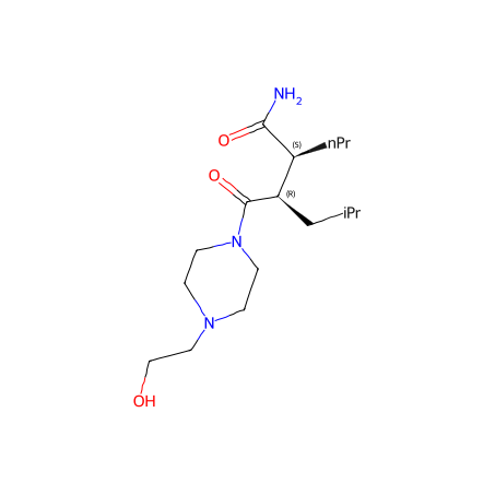 CCC[C@H](C(N)=O)[C@@H](CC(C)C)C(=O)N1CCN(CCO)CC1